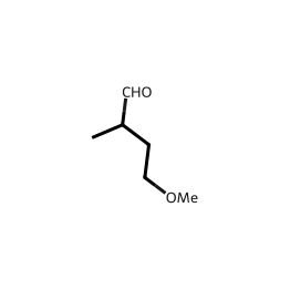 COCCC(C)C=O